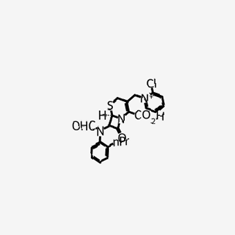 CCCc1ccccc1N(C=O)C1C(=O)N2C(C(=O)O)=C(C[n+]3ccccc3Cl)CS[C@H]12